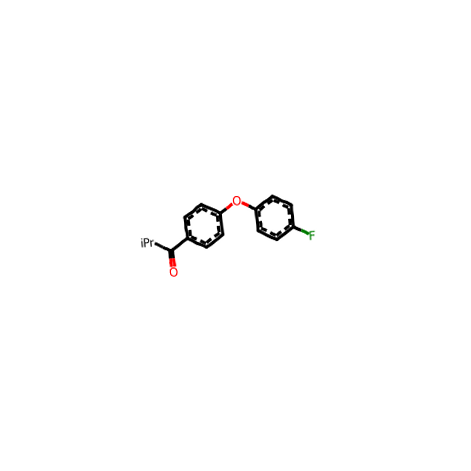 CC(C)C(=O)c1ccc(Oc2ccc(F)cc2)cc1